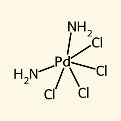 [NH2][Pd]([NH2])([Cl])([Cl])([Cl])[Cl]